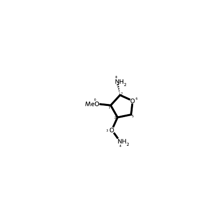 COC1C(ON)CO[C@H]1N